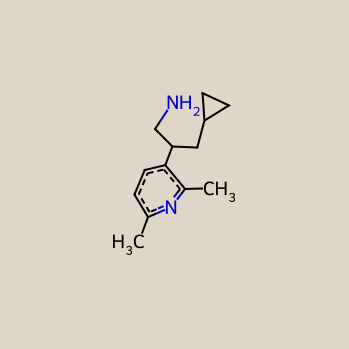 Cc1ccc(C(CN)CC2CC2)c(C)n1